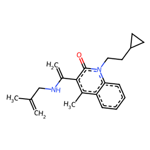 C=C(C)CNC(=C)c1c(C)c2ccccc2n(CCC2CC2)c1=O